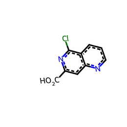 O=C(O)c1cc2ncccc2c(Cl)n1